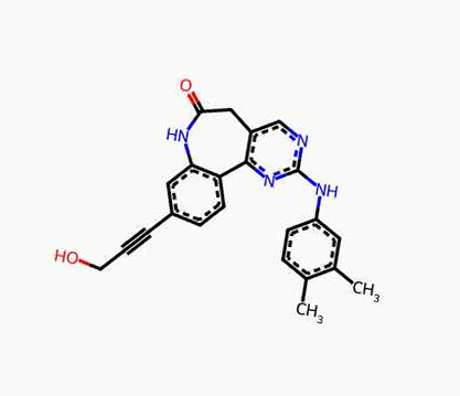 Cc1ccc(Nc2ncc3c(n2)-c2ccc(C#CCO)cc2NC(=O)C3)cc1C